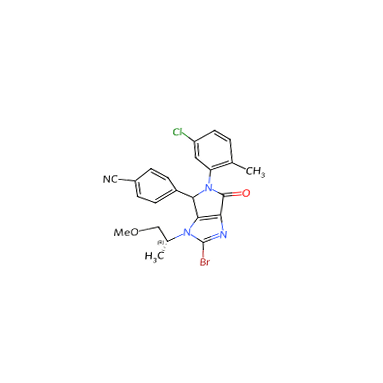 COC[C@@H](C)n1c(Br)nc2c1C(c1ccc(C#N)cc1)N(c1cc(Cl)ccc1C)C2=O